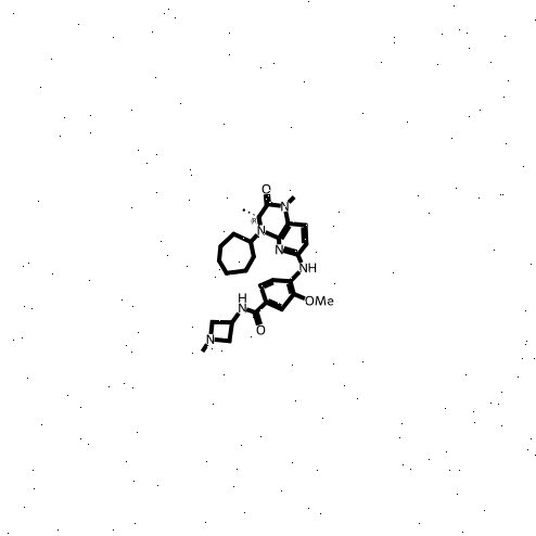 COc1cc(C(=O)NC2CN(C)C2)ccc1Nc1ccc2c(n1)N(C1CCCCCC1)[C@H](C)C(=O)N2C